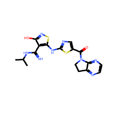 CC(C)NC(=N)c1c(O)nsc1Nc1ncc(C(=O)N2CCc3nccnc32)s1